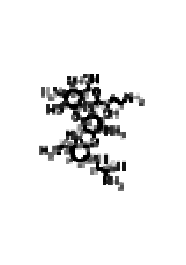 NCCN(O)C(=O)N[C@@H]1C[C@H](N)C(O[C@H]2O[C@H](CN)CC[C@H]2NCC(N)O)[C@H](O)[C@H]1O[C@H]1O[C@H](CO)[C@@H](O)[C@H](N)[C@H]1O